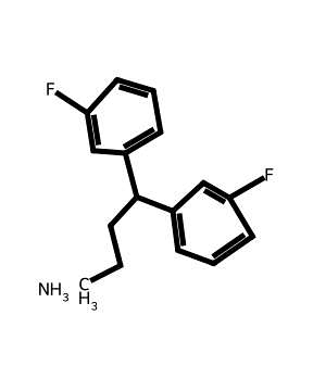 CCCC(c1cccc(F)c1)c1cccc(F)c1.N